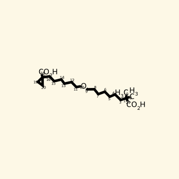 CC(C)(CCCCCCCOCCCCCCC1(C(=O)O)CC1)C(=O)O